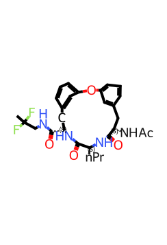 CCC[C@@H]1NC(=O)[C@@H](NC(C)=O)Cc2cccc(c2)Oc2cccc(c2)C[C@@H](C(=O)NCC(C)(F)F)NC1=O